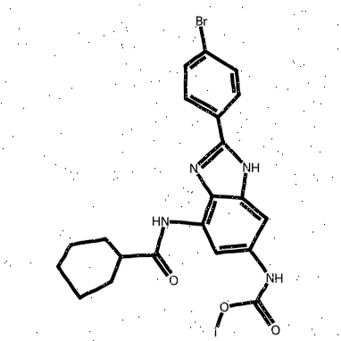 O=C(Nc1cc(NC(=O)C2CCCCC2)c2nc(-c3ccc(Br)cc3)[nH]c2c1)OI